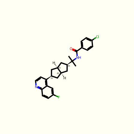 CC(C)(NC(=O)c1ccc(Cl)cc1)[C@H]1C[C@H]2C[C@@H](c3ccnc4ccc(F)cc34)C[C@H]2C1